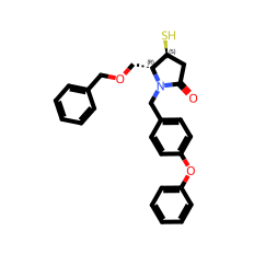 O=C1C[C@H](S)[C@@H](COCc2ccccc2)N1Cc1ccc(Oc2ccccc2)cc1